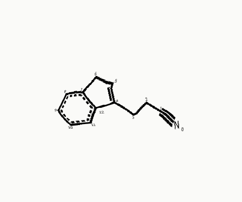 N#CCCC1=CCc2ccccc21